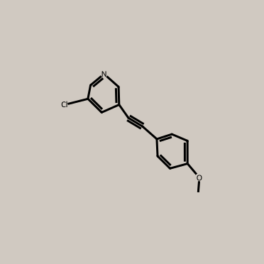 COc1ccc(C#Cc2cncc(Cl)c2)cc1